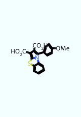 COc1ccc(-c2c(C(=O)O)c(C(=O)O)c3sc4ccccc4n23)cc1